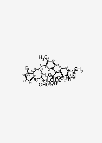 CC[C@@H]1CN(Cc2cc(C(c3ccc4c(nnn4C)c3C)C(C)(C)C(=O)O)ccc2C)Cc2c(F)cccc2O1.O=CO